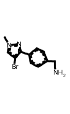 Cn1cc(Br)c(-c2ccc(CN)cc2)n1